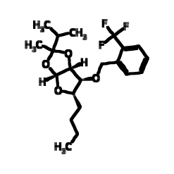 CCCC[C@H]1O[C@@H]2OC(C)(C(C)C)O[C@@H]2[C@H]1OCc1ccccc1C(F)(F)F